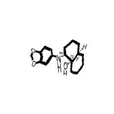 O[C@@]12CCCC[C@@H]1CCC[C@H]2Nc1ccc2c(c1)OCO2